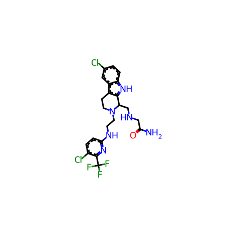 NC(=O)CNCC1c2[nH]c3ccc(Cl)cc3c2CCN1CCNc1ccc(Cl)c(C(F)(F)F)n1